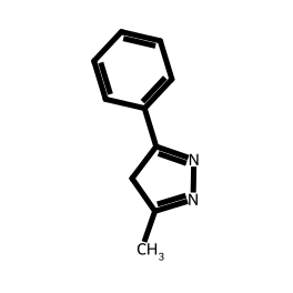 CC1=NN=C(c2ccccc2)C1